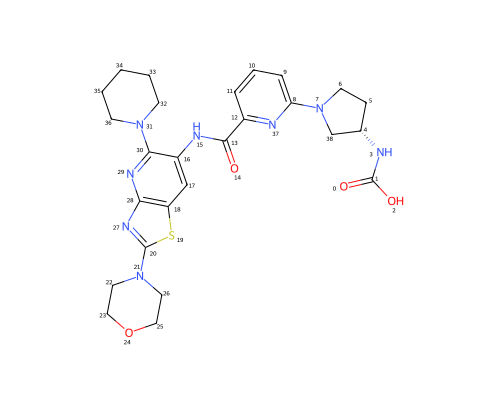 O=C(O)N[C@H]1CCN(c2cccc(C(=O)Nc3cc4sc(N5CCOCC5)nc4nc3N3CCCCC3)n2)C1